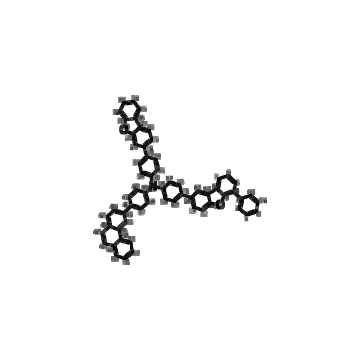 c1ccc(-c2cccc3c2oc2ccc(-c4ccc(N(c5ccc(-c6ccc7c(c6)oc6ccccc67)cc5)c5ccc(-c6ccc7ccc8ccccc8c7c6)cc5)cc4)cc23)cc1